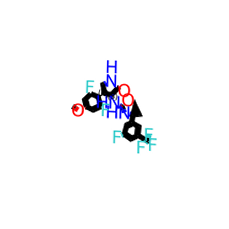 COC1=CC(F)C([C@@H]2CNC(=O)[C@H]2NC(=O)NC2(c3cc(F)cc(C(F)(F)F)c3)CC2)C(F)=C1